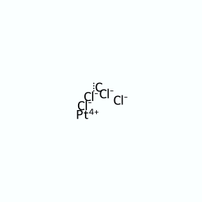 [C].[Cl-].[Cl-].[Cl-].[Cl-].[Pt+4]